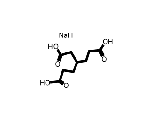 O=C(O)CCC(CCC(=O)O)CC(=O)O.[NaH]